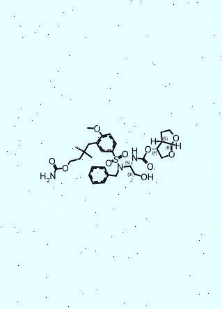 COc1ccc(S(=O)(=O)N(Cc2ccccc2)[C@H](NC(=O)O[C@H]2CO[C@H]3OCC[C@H]32)[C@@H](C)O)cc1CC(C)(C)CCOC(N)=O